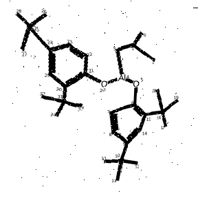 CC(C)[CH2][Al]([O]c1ccc(C(C)(C)C)cc1C(C)(C)C)[O]c1ccc(C(C)(C)C)cc1C(C)(C)C